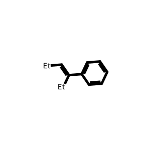 CC/C=C(\CC)c1ccccc1